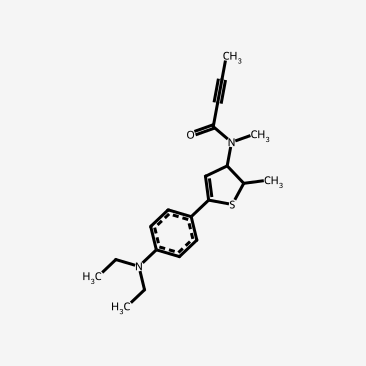 CC#CC(=O)N(C)C1C=C(c2ccc(N(CC)CC)cc2)SC1C